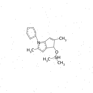 CC1=Cc2c(cc(C)n2-c2ccccc2)C1O[SiH](C)C